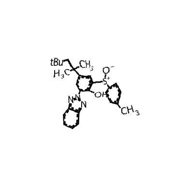 Cc1ccc([S+]([O-])c2cc(C(C)(C)CC(C)(C)C)cc(-n3nc4ccccc4n3)c2O)cc1